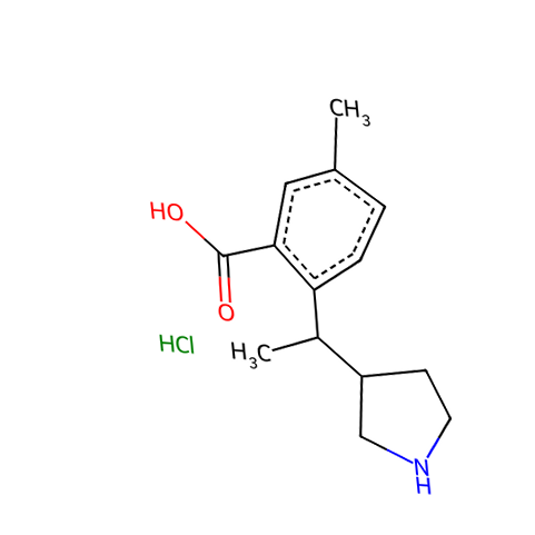 Cc1ccc(C(C)C2CCNC2)c(C(=O)O)c1.Cl